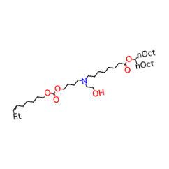 CC/C=C\CCCCCOC(=O)OCCCCN(CCO)CCCCCCCC(=O)OC(CCCCCCCC)CCCCCCCC